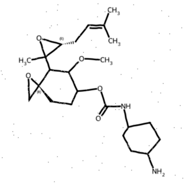 COC1C(OC(=O)NC2CCC(N)CC2)CC[C@]2(CO2)C1C1(C)O[C@@H]1CC=C(C)C